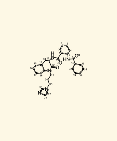 O=C(Nc1ccccc1C(=O)NC(Cc1ccccc1)C(=O)NCCCn1ccnc1)c1ccccc1